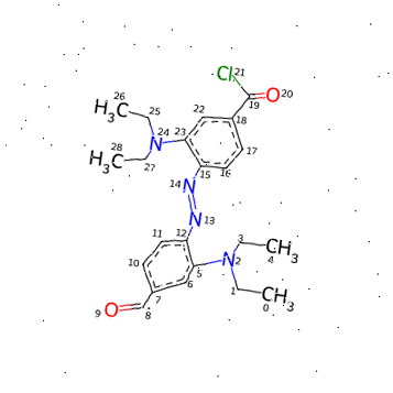 CCN(CC)c1cc([C]=O)ccc1/N=N/c1ccc(C(=O)Cl)cc1N(CC)CC